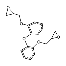 c1ccc(Oc2ccccc2OCC2CO2)c(OCC2CO2)c1